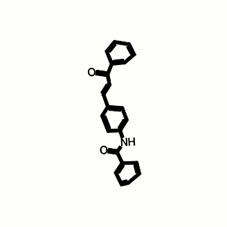 O=C(C=Cc1ccc(NC(=O)c2ccccc2)cc1)c1ccccc1